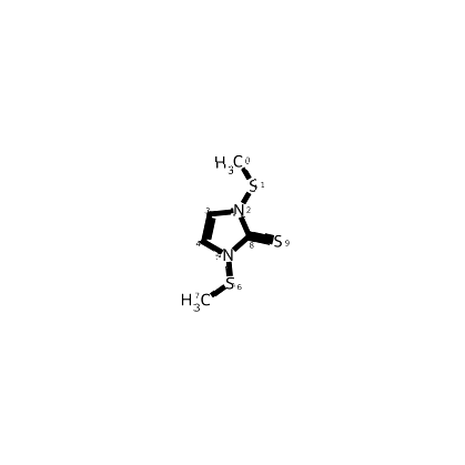 CSn1ccn(SC)c1=S